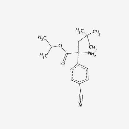 CC(C)OC(=O)[C@@](N)(CC(C)(C)C)c1ccc(C#N)cc1